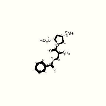 CS[C@H]1C[C@@H](C(=O)O)N(C(=O)C(C)CSC(=O)c2ccccc2)C1